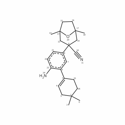 CC1(C)CC=C(c2cc(C3(C#N)CC4(C)CCC(C)(C3)O4)ccc2N)CC1